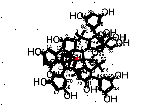 CC(C)(C)c1c(C(c2ccc(O)c(-c3cc(O)cc(O)c3)c2C(C)(C)C)C(C(=O)OCC(CO)(CO)CO)(c2ccc(O)c(-c3cc(O)cc(O)c3)c2C(C)(C)C)c2ccc(O)c(-c3cc(O)cc(O)c3)c2C(C)(C)C)ccc(O)c1-c1cc(O)cc(O)c1